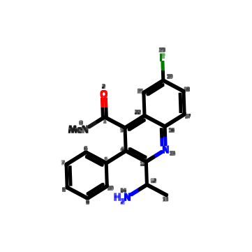 CNC(=O)c1c(-c2ccccc2)c(C(C)N)nc2ccc(F)cc12